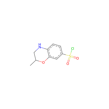 CC1CNc2ccc(S(=O)(=O)Cl)cc2O1